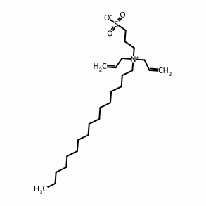 C=CC[N+](CC=C)(CCCCCCCCCCCCCCCC)CCCS(=O)(=O)[O-]